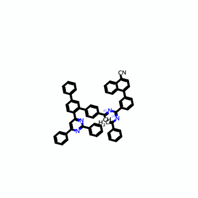 C=C(/N=C(\N=C(/C)c1ccc(-c2cc(-c3ccccc3)ccc2-c2cc(-c3ccccc3)nc(-c3ccccc3)n2)cc1)c1cccc(-c2ccc(C#N)c3ccccc23)c1)c1ccccc1